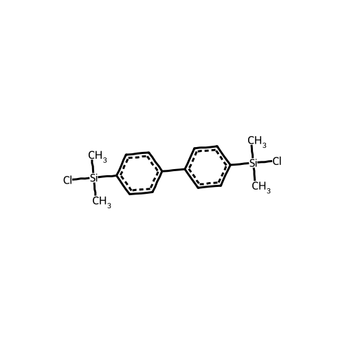 C[Si](C)(Cl)c1ccc(-c2ccc([Si](C)(C)Cl)cc2)cc1